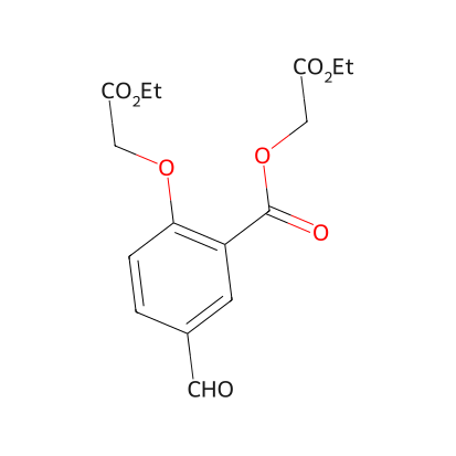 CCOC(=O)COC(=O)c1cc(C=O)ccc1OCC(=O)OCC